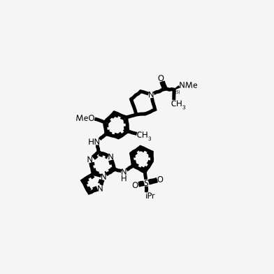 CN[C@@H](C)C(=O)N1CCC(c2cc(OC)c(Nc3nc(Nc4ccccc4S(=O)(=O)C(C)C)n4nccc4n3)cc2C)CC1